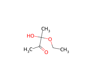 CCOC(C)(O)C(C)=O